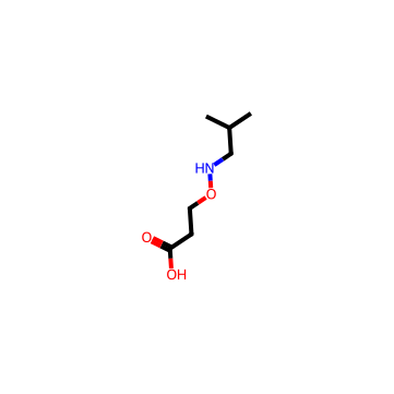 CC(C)CNOCCC(=O)O